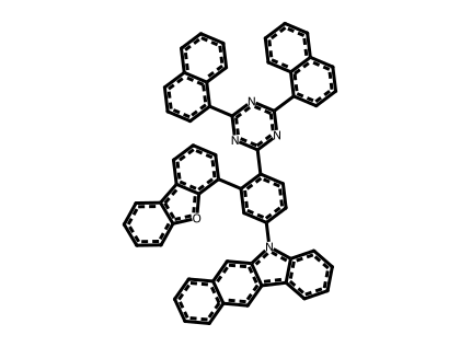 c1ccc2cc3c(cc2c1)c1ccccc1n3-c1ccc(-c2nc(-c3cccc4ccccc34)nc(-c3cccc4ccccc34)n2)c(-c2cccc3c2oc2ccccc23)c1